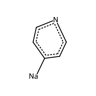 [Na][c]1ccncc1